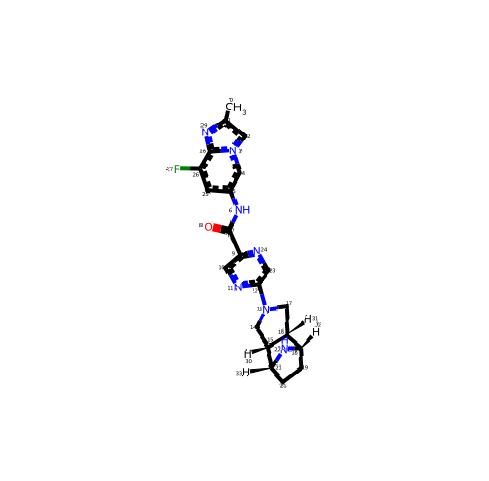 Cc1cn2cc(NC(=O)c3cnc(N4C[C@@H]5[C@H](C4)[C@@H]4CC[C@H]5N4)cn3)cc(F)c2n1